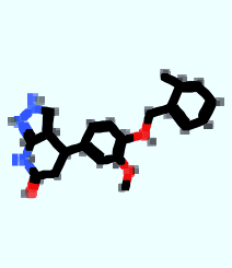 COc1cc(C2CC(=O)Nc3n[nH]cc32)ccc1OCc1ccccc1C